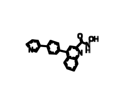 O=C(NO)c1cc(-c2ccc(-c3cccnc3)cc2)c2ccccc2n1